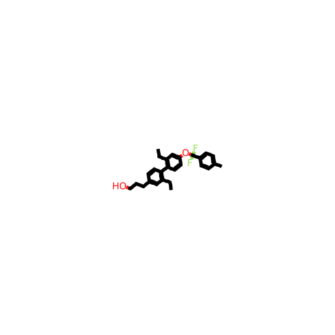 CCc1cc(CCCO)ccc1-c1ccc(OC(F)(F)c2ccc(C)cc2)cc1CC